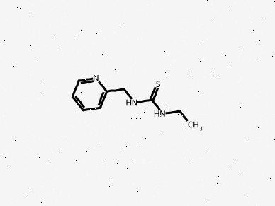 CCNC(=S)NCc1ccccn1